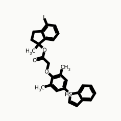 Cc1cc([SH]2C=Cc3ccccc32)cc(C)c1OCC(=O)OC1(C)CCc2c(I)cccc21